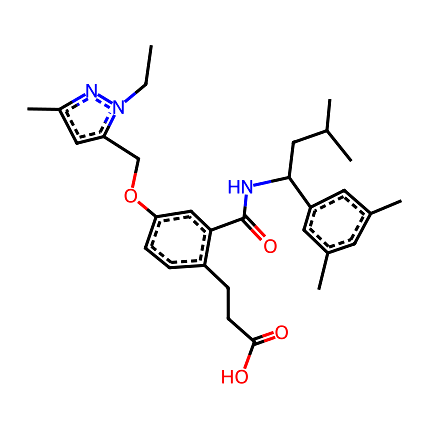 CCn1nc(C)cc1COc1ccc(CCC(=O)O)c(C(=O)NC(CC(C)C)c2cc(C)cc(C)c2)c1